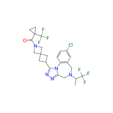 CC(N1Cc2cc(Cl)ccc2-n2c(nnc2C2CC3(C2)CN(C(=O)C2(C(F)(F)F)CC2)C3)C1)C(F)(F)F